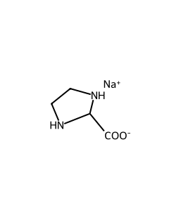 O=C([O-])C1NCCN1.[Na+]